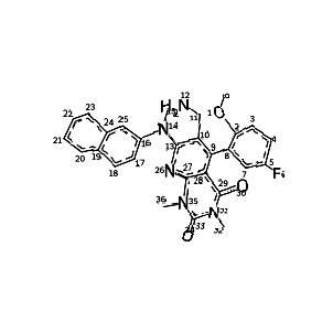 COc1ccc(F)cc1-c1c(CN)c(N(C)c2ccc3ccccc3c2)nc2c1c(=O)n(C)c(=O)n2C